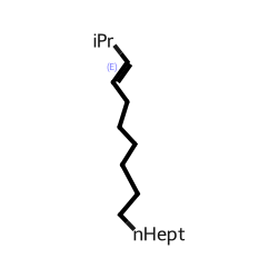 CCCCCCCCCCCCC/C=C/C(C)C